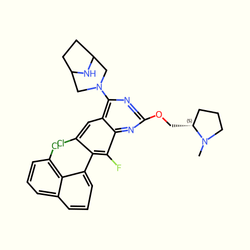 CN1CCC[C@H]1COc1nc(N2CC3CCC(C2)N3)c2cc(Cl)c(-c3cccc4cccc(Cl)c34)c(F)c2n1